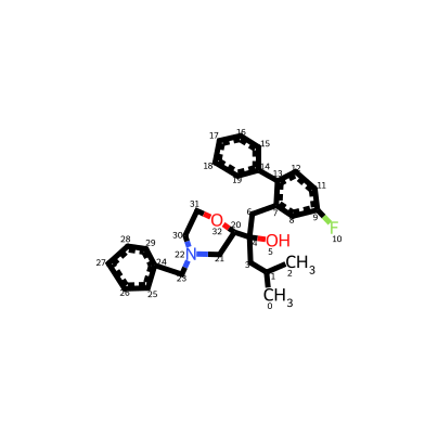 CC(C)CC(O)(Cc1cc(F)ccc1-c1ccccc1)C1CN(Cc2ccccc2)CCO1